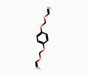 C=COCOc1ccc(OCOC=C)cc1